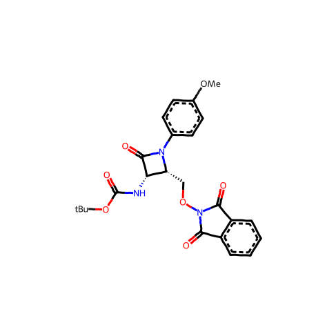 COc1ccc(N2C(=O)[C@@H](NC(=O)OC(C)(C)C)[C@H]2CON2C(=O)c3ccccc3C2=O)cc1